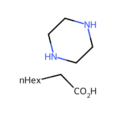 C1CNCCN1.CCCCCCCC(=O)O